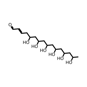 CC(O)CC(O)CC(O)CC(O)CC(O)CC(O)CC=CC=O